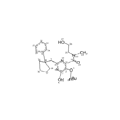 CCCCOc1c(O)nc(CC2(c3ccccc3)CCCC2)nc1C(=O)N(C)CCO